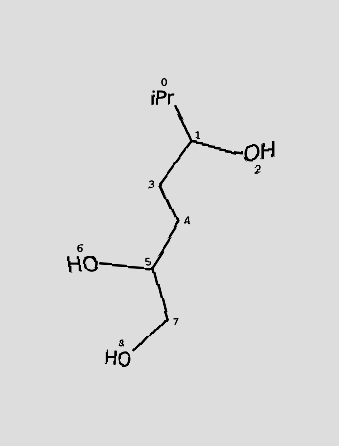 CC(C)C(O)CCC(O)CO